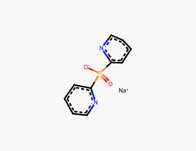 O=P([O-])(c1ccccn1)c1ccccn1.[Na+]